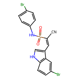 N#CC(=Cc1c[nH]c2ccc(Br)cc12)S(=O)(=O)Nc1ccc(Br)cc1